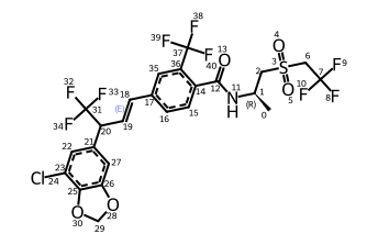 C[C@H](CS(=O)(=O)CC(F)(F)F)NC(=O)c1ccc(/C=C/C(c2cc(Cl)c3c(c2)OCO3)C(F)(F)F)cc1C(F)(F)F